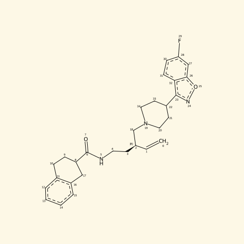 C=C[C@@H](CCNC(=O)C1CCc2ccccc2C1)CN1CCC(c2noc3cc(F)ccc23)CC1